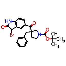 CC(C)(C)OC(=O)N1CCC(Cc2ccccc2)(C(=O)c2ccc3c(c2)C(Br)C(=O)N3)C1